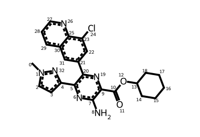 Cn1ccc(-c2nc(N)c(C(=O)OC3CCCCC3)nc2-c2cc(Cl)c3ncccc3c2)n1